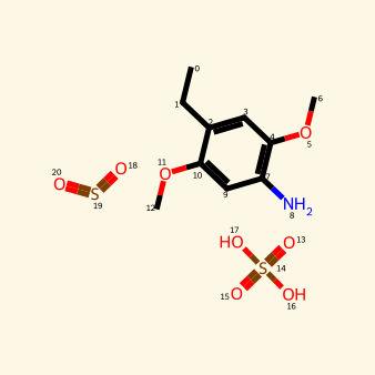 CCc1cc(OC)c(N)cc1OC.O=S(=O)(O)O.O=S=O